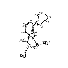 CC(C)(C)OC(=O)n1c(B(O)O)cc2c(N3CCCCC3)cccc21